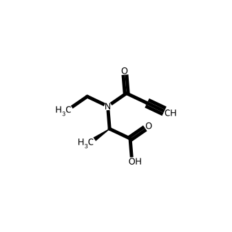 C#CC(=O)N(CC)[C@H](C)C(=O)O